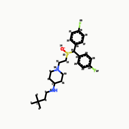 CC(C)(C)CCNC1CCN(CC[S+]([O-])C(c2ccc(F)cc2)c2ccc(F)cc2)CC1